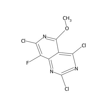 COc1nc(Cl)c(F)c2nc(Cl)nc(Cl)c12